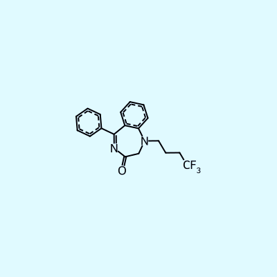 O=C1CN(CCCC(F)(F)F)c2ccccc2C(c2ccccc2)=N1